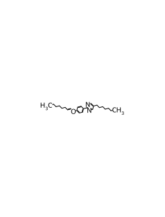 CCCCCC/C=C/Oc1ccc(-c2ncc(CCCCCCC)cn2)cc1